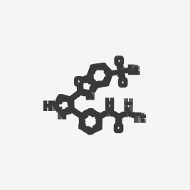 CCNC(=O)Nc1cccc(-c2n[nH]cc2-c2nc3cc(S(=O)(=O)CC)ccc3o2)c1